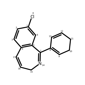 Clc1ccc2c(c1)C(C1=CCCC=C1)=NCC=C2